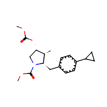 CC(=O)O[C@@H]1[C@@H](OC(=O)OC(C)(C)C)CN(C(=O)OC(C)(C)C)[C@@H]1Cc1ccc(C2CC2)cc1